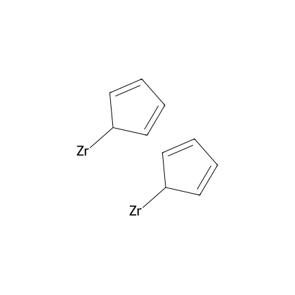 [Zr][CH]1C=CC=C1.[Zr][CH]1C=CC=C1